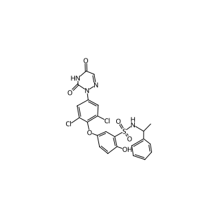 CC(NS(=O)(=O)c1cc(Oc2c(Cl)cc(-n3ncc(=O)[nH]c3=O)cc2Cl)ccc1O)c1ccccc1